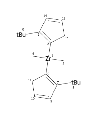 CC(C)(C)C1=[C]([Zr]([CH3])([CH3])[C]2=C(C(C)(C)C)C=CC2)CC=C1